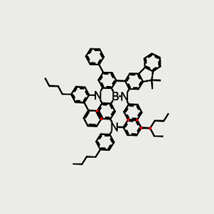 CCCCc1ccc(N2B3c4cc(N(c5ccc(CCCC)cc5)c5ccc(CCCC)cc5)c#cc4N(c4ccc(CCCC)cc4C4=CC=CCC4)c4cc(-c5ccccc5)cc(c43)-c3cc4c(cc32)C(C)(C)c2ccccc2-4)cc1